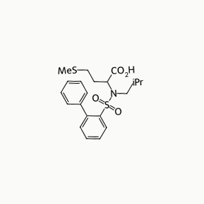 CSCCC(C(=O)O)N(CC(C)C)S(=O)(=O)c1ccccc1-c1ccccc1